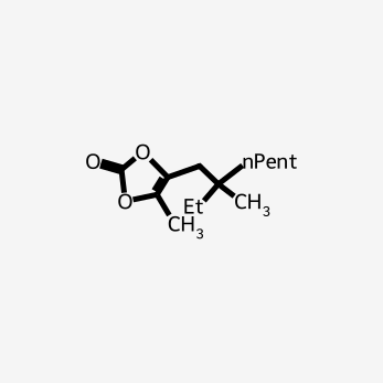 CCCCCC(C)(CC)Cc1oc(=O)oc1C